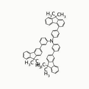 CC1(C)c2ccccc2-c2cc(-c3cccc(N(c4ccc(-c5cccc6c5-c5ccccc5C6(C)C)cc4)c4cccc(-c5ccc6c(c5)-c5ccccc5C6(C)C)c4)c3)ccc21